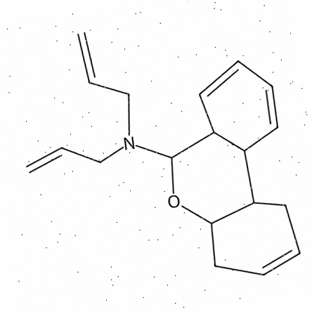 C=CCN(CC=C)C1OC2CC=CCC2C2C=CC=CC21